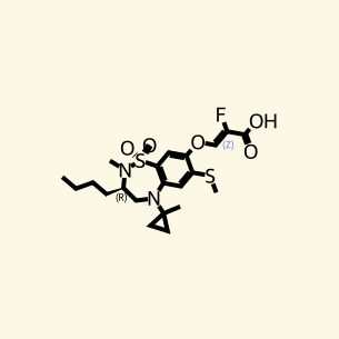 CCCC[C@@H]1CN(C2(C)CC2)c2cc(SC)c(O/C=C(\F)C(=O)O)cc2S(=O)(=O)N1C